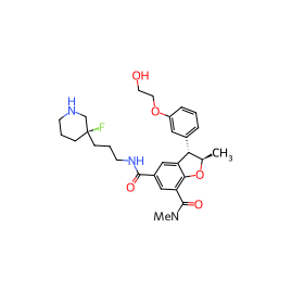 CNC(=O)c1cc(C(=O)NCCC[C@]2(F)CCCNC2)cc2c1O[C@H](C)[C@H]2c1cccc(OCCO)c1